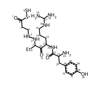 CCC(NNCCC(=O)SS)C(=O)C(CCCNC(N)N)NC(=O)C(N)Cc1ccc(O)cc1